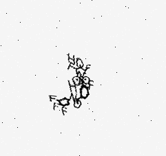 O=C(Nc1cc(F)c(F)c(F)c1)c1ccc(F)c(S(=O)(=O)N2CC(F)C(O)C(F)C2)c1